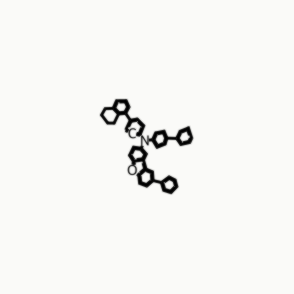 c1ccc(-c2ccc(N(c3ccc(-c4cccc5c4CCCC5)cc3)c3ccc4oc5ccc(-c6ccccc6)cc5c4c3)cc2)cc1